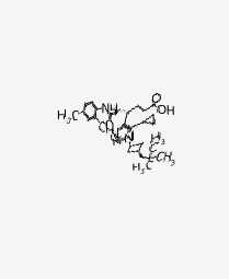 Cc1ccc(NC(=O)C[C@H](CCC(=O)O)c2nnn([C@H]3C[C@@H](CC(C)(C)C)C3)c2C2CC2)c(Cl)c1